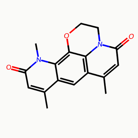 Cc1cc(=O)n(C)c2c3c4c(cc12)c(C)cc(=O)n4CCO3